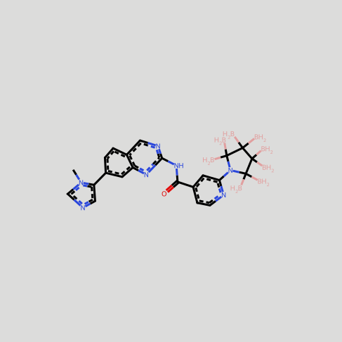 BC1(B)N(c2cc(C(=O)Nc3ncc4ccc(-c5cncn5C)cc4n3)ccn2)C(B)(B)C(B)(B)C1(B)B